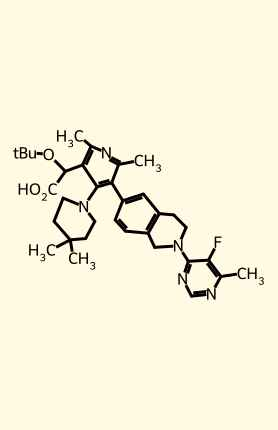 Cc1ncnc(N2CCc3cc(-c4c(C)nc(C)c(C(OC(C)(C)C)C(=O)O)c4N4CCC(C)(C)CC4)ccc3C2)c1F